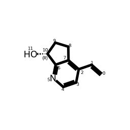 C=Cc1ccnc2c1CC[C@H]2O